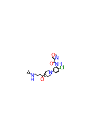 O=C(CCCNC1CC1)B1CCN(c2ccc(Cl)c(NC(=O)c3cocn3)c2)CC1